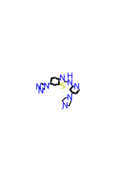 CN1CCN(c2ccnc(Nc3nc4ccc(-n5cnnc5)cc4s3)c2)CC1